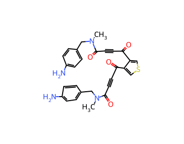 CN(Cc1ccc(N)cc1)C(=O)C#CC(=O)c1cscc1C(=O)C#CC(=O)N(C)Cc1ccc(N)cc1